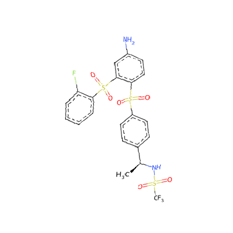 C[C@H](NS(=O)(=O)C(F)(F)F)c1ccc(S(=O)(=O)c2ccc(N)cc2S(=O)(=O)c2ccccc2F)cc1